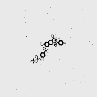 COc1cc2c(cc1OC(=O)c1ccc(NC(=O)OC(C)(C)C)cc1)CN(S(=O)(=O)c1ccc(C)cc1)C(C(=O)O)C2